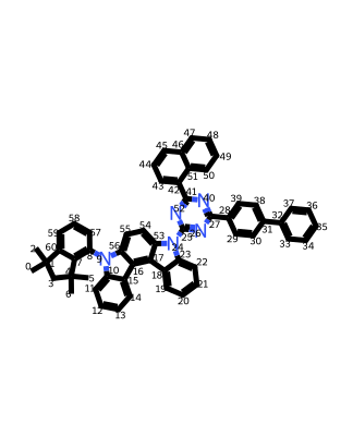 CC1(C)CC(C)(C)c2c(-n3c4ccccc4c4c5c6ccccc6n(-c6nc(-c7ccc(-c8ccccc8)cc7)nc(-c7cccc8ccccc78)n6)c5ccc43)cccc21